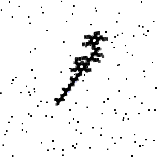 CC(C)=CCC/C(C)=C/CC/C(C)=C/C=N/C1C(O)C(CO)OC(OC(O)C(N)CC(N)C(C)OC2OC(CO)C(O)C(O)C2N)C1O